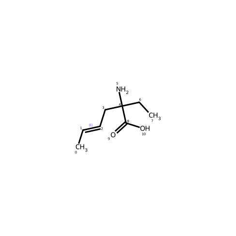 C/C=C/CC(N)(CC)C(=O)O